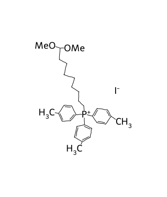 COC(CCCCCCCC[P+](c1ccc(C)cc1)(c1ccc(C)cc1)c1ccc(C)cc1)OC.[I-]